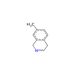 Cc1ccc2c(c1)CN=CC2